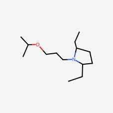 CCC1CCC(CC)N1CCCOC(C)C